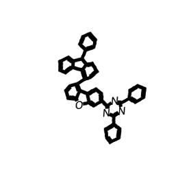 c1ccc(-c2nc(-c3ccccc3)nc(-c3ccc4c(c3)oc3cccc(-c5cccc6c5-c5ccccc5C6c5ccccc5)c34)n2)cc1